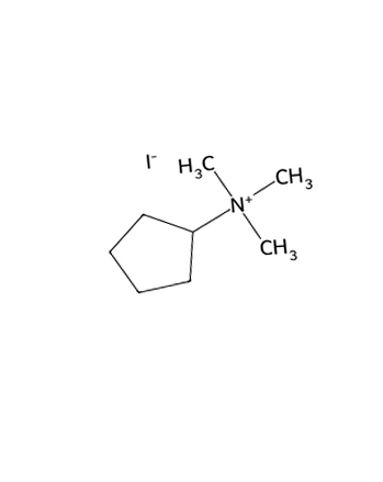 C[N+](C)(C)C1CCCC1.[I-]